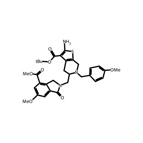 COC(=O)c1cc(OC)cc2c1CN(CC1Cc3c(sc(N)c3C(=O)OC(C)(C)C)CN1Cc1ccc(OC)cc1)C2=O